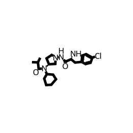 CC(C)C(=O)N(C1CCCCC1)[C@H]1CCN(NC(=O)[C@H](N)Cc2ccc(Cl)cc2)C1